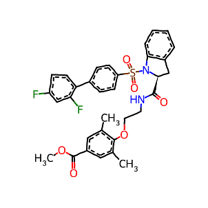 COC(=O)c1cc(C)c(OCCNC(=O)[C@@H]2Cc3ccccc3N2S(=O)(=O)c2ccc(-c3ccc(F)cc3F)cc2)c(C)c1